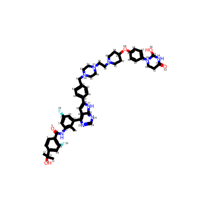 Cc1c(NC(=O)c2ccc(C(C)(C)O)cc2F)cc(F)cc1-c1ncnc2[nH]c(-c3ccc(CN4CCN(CCN5CCC(Oc6ccc(N7CCC(=O)NC7O)cc6)CC5)CC4)cc3)cc12